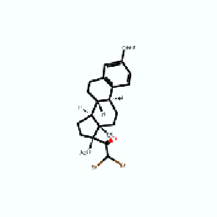 CC[C@]12CC[C@@H]3c4ccc(OC)cc4CC[C@H]3[C@@H]1CC[C@@]2(OC(C)=O)C(=O)C(Br)Br